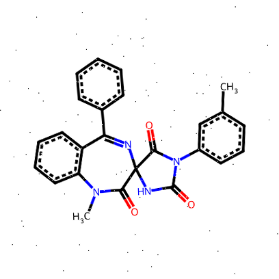 Cc1cccc(N2C(=O)NC3(N=C(c4ccccc4)c4ccccc4N(C)C3=O)C2=O)c1